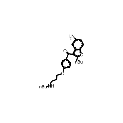 CCCCNCCCOc1ccc(C(=O)c2c(CCCC)oc3ccc(N)cc23)cc1